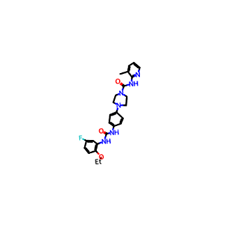 CCOc1ccc(F)cc1NC(=O)Nc1ccc(N2CCN(C(=O)Nc3ncccc3C)CC2)cc1